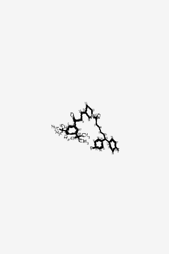 CC(C)(C)c1cc(C(=O)CCC2CCN(C(=O)CCCCC(c3ccc(F)cc3)c3ccc(F)cc3)C2)cc(C(C)(C)C)c1